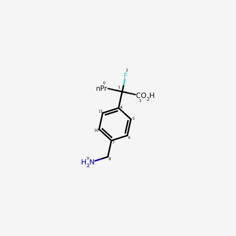 CCCC(F)(C(=O)O)c1ccc(CN)cc1